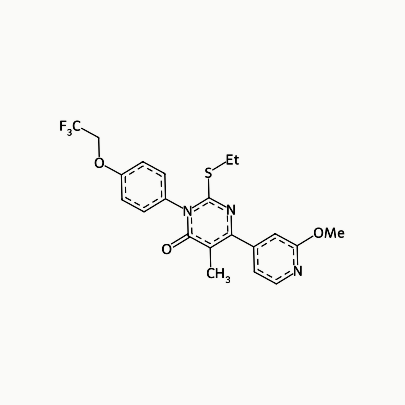 CCSc1nc(-c2ccnc(OC)c2)c(C)c(=O)n1-c1ccc(OCC(F)(F)F)cc1